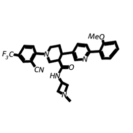 COc1ccccc1-c1ccc(C2CCN(c3ccc(C(F)(F)F)cc3C#N)CC2C(=O)NC2CN(C)C2)cn1